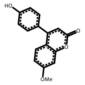 COc1ccc2c(-c3ccc(O)cc3)cc(=O)oc2c1